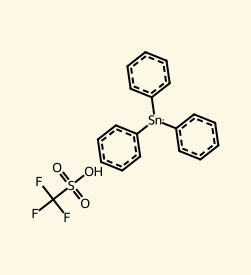 O=S(=O)(O)C(F)(F)F.c1cc[c]([Sn]([c]2ccccc2)[c]2ccccc2)cc1